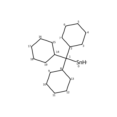 [SnH][C](C1CCCCC1)(C1CCCCC1)C1CCCCC1